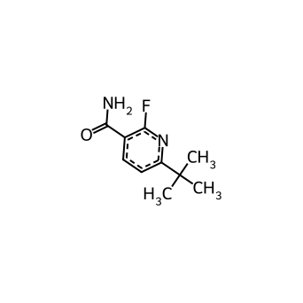 CC(C)(C)c1ccc(C(N)=O)c(F)n1